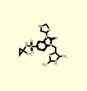 CC1NC(C)C(Cn2c(=O)n(C3CNCS3)c3cc(S(=O)(=O)NC4(C)CC4)ccc32)S1